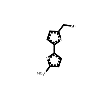 O=C(O)c1ccc(-c2ccc(CS)s2)s1